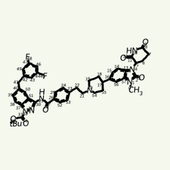 Cn1c(=O)n(C2CCC(=O)NC2=O)c2ccc(C3CCN(CCc4ccc(C(=O)Nc5nn(C(=O)OC(C)(C)C)c6ccc(Cc7cc(F)cc(F)c7)cc56)cc4)CC3)cc21